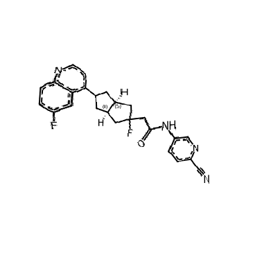 N#Cc1ccc(NC(=O)CC2(F)C[C@H]3CC(c4ccnc5ccc(F)cc45)C[C@H]3C2)cn1